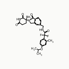 BC1(N2Cc3cc(CNC(=O)C(F)(F)c4ccc(OC(C)C)cc4C)ccc3C2=O)CCC(=O)NC1=O